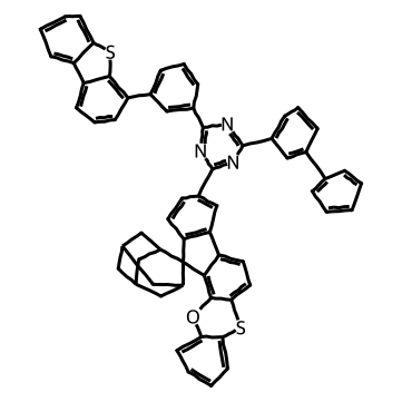 c1ccc(-c2cccc(-c3nc(-c4cccc(-c5cccc6c5sc5ccccc56)c4)nc(-c4ccc5c(c4)-c4ccc6c(c4C54C5CC7CC(C5)CC4C7)Oc4ccccc4S6)n3)c2)cc1